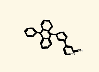 CCC/C=C\C(=C/C=N)C1=CC(C2=C3CCC=CC3C(c3ccccc3)c3ccccc32)CC=C1